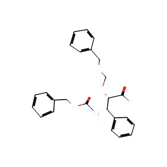 O=C(N[C@@H](c1ccccc1)[C@@H](OCOCc1ccccc1)C(=O)F)OCc1ccccc1